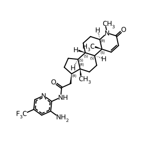 CN1C(=O)C=C[C@]2(C)[C@H]3CC[C@]4(C)[C@@H](CC(=O)Nc5ncc(C(F)(F)F)cc5N)CC[C@H]4[C@@H]3CC[C@@H]12